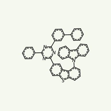 c1ccc(-c2cccc(-c3nc(-c4ccccc4)nc(-c4ccc5sc6cccc(-n7c8ccccc8c8ccccc87)c6c5c4)n3)c2)cc1